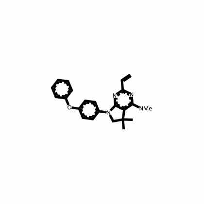 C=Cc1nc(NC)c2c(n1)N(c1ccc(Oc3ccccc3)cc1)CC2(C)C